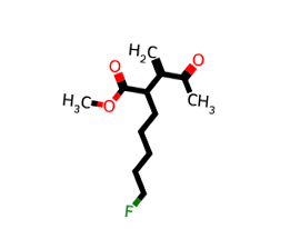 C=C(C(C)=O)C(CCCCCF)C(=O)OC